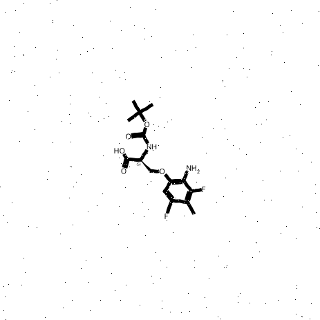 Cc1c(F)cc(OC[C@H](NC(=O)OC(C)(C)C)C(=O)O)c(N)c1F